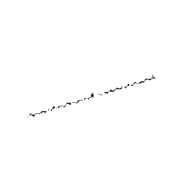 CCCCCCCCC=CCCCCCCCCCCCC(=O)OCCCCCCCCCCCCCCCCCCC(C)C